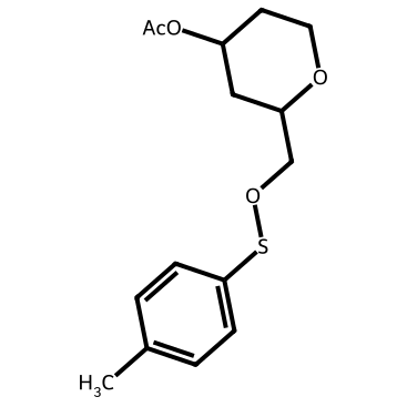 CC(=O)OC1CCOC(COSc2ccc(C)cc2)C1